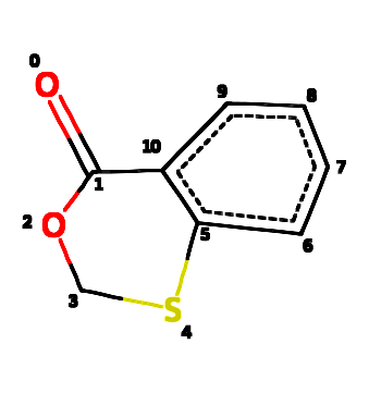 O=C1OCSc2ccccc21